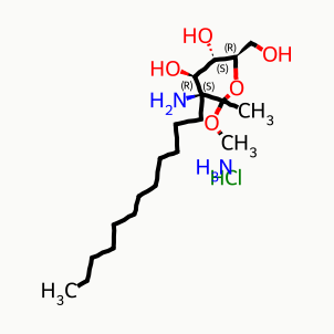 CCCCCCCCCCCC[C@]1(N)[C@@H](O)[C@H](O)[C@@H](CO)OC1(C)OC.Cl.N